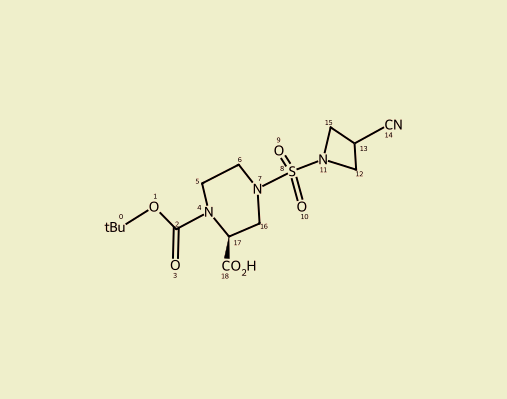 CC(C)(C)OC(=O)N1CCN(S(=O)(=O)N2CC(C#N)C2)C[C@H]1C(=O)O